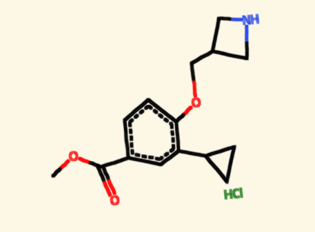 COC(=O)c1ccc(OCC2CNC2)c(C2CC2)c1.Cl